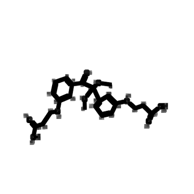 COC(OC)(C(=O)c1cccc(OCCC(=O)O)c1)c1cccc(OCCC(=O)O)c1